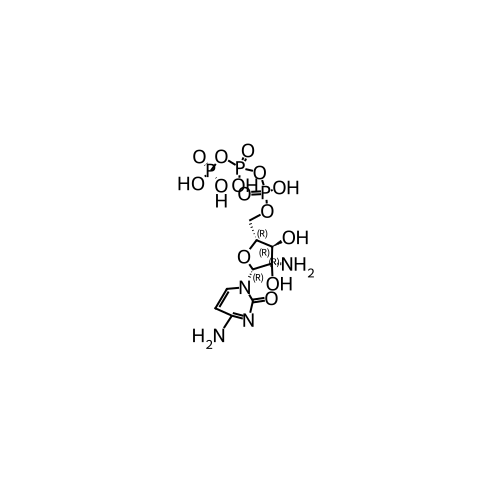 Nc1ccn([C@@H]2O[C@H](COP(=O)(O)OP(=O)(O)OP(=O)(O)O)[C@@H](O)[C@@]2(N)O)c(=O)n1